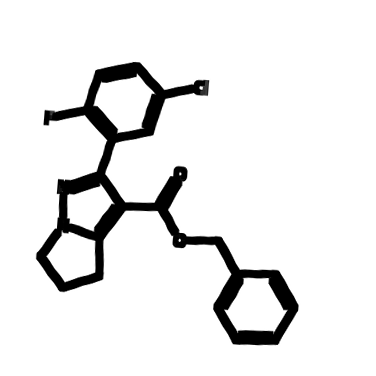 O=C(OCc1ccccc1)c1c(-c2cc(Cl)ccc2F)nn2c1CCC2